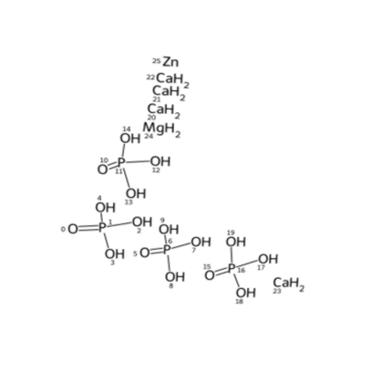 O=P(O)(O)O.O=P(O)(O)O.O=P(O)(O)O.O=P(O)(O)O.[CaH2].[CaH2].[CaH2].[CaH2].[MgH2].[Zn]